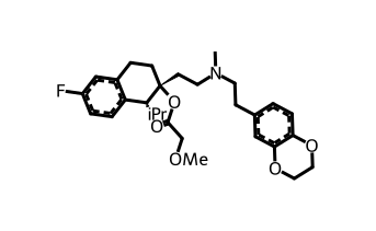 COCC(=O)O[C@@]1(CCN(C)CCc2ccc3c(c2)OCCO3)CCc2cc(F)ccc2[C@H]1C(C)C